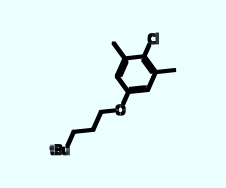 Cc1cc(OCCCC(C)(C)C)cc(C)c1Cl